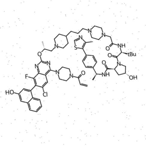 C=CC(=O)N1CCN(c2nc(O[C@H](C)CN3CCC(CCCN4CCN(CC(=O)N[C@H](C(=O)N5C[C@H](O)C[C@H]5C(=O)N[C@@H](C)c5ccc(-c6scnc6C)cc5)C(C)(C)C)CC4)CC3)nc3c(F)c(-c4cc(O)cc5ccccc45)c(Cl)cc23)CC1